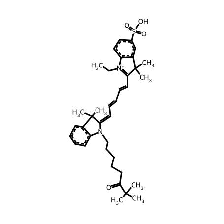 CC[N+]1=C(/C=C/C=C/C=C2/N(CCCCCC(=O)C(C)(C)C)c3ccccc3C2(C)C)C(C)(C)c2cc(S(=O)(=O)O)ccc21